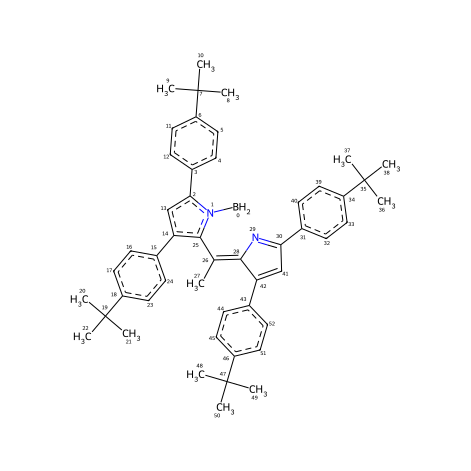 Bn1c(-c2ccc(C(C)(C)C)cc2)cc(-c2ccc(C(C)(C)C)cc2)c1/C(C)=C1\N=C(c2ccc(C(C)(C)C)cc2)C=C1c1ccc(C(C)(C)C)cc1